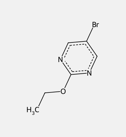 CCOc1ncc(Br)cn1